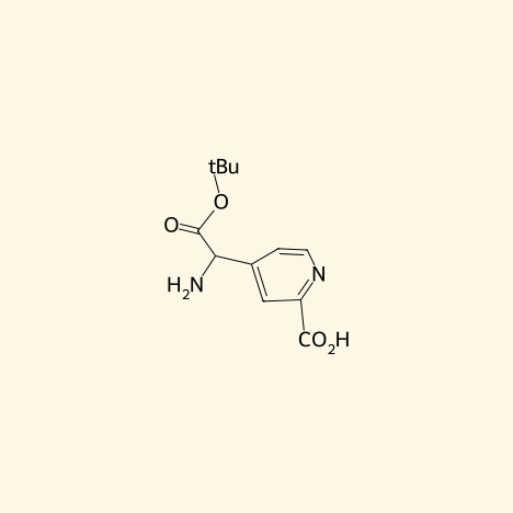 CC(C)(C)OC(=O)C(N)c1ccnc(C(=O)O)c1